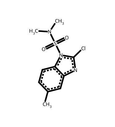 Cc1ccc2c(c1)nc(Cl)n2S(=O)(=O)N(C)C